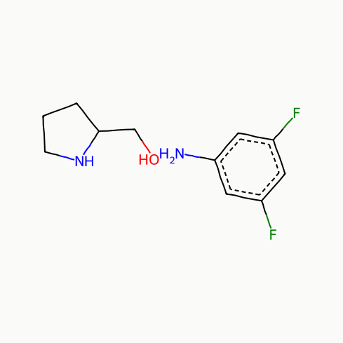 Nc1cc(F)cc(F)c1.OCC1CCCN1